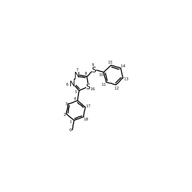 Cc1ccc(-c2nnc(Sc3ccccc3)s2)cc1